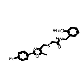 CCc1ccc(-c2nc(CSCC(=O)NCc3ccccc3OC)c(C)o2)cc1